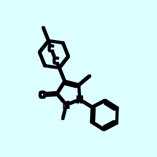 Cc1c(C23CCC(C)(CC2)CC3)c(=O)n(C)n1-c1ccccc1